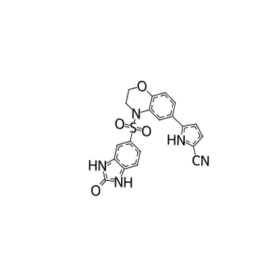 N#Cc1ccc(-c2ccc3c(c2)N(S(=O)(=O)c2ccc4[nH]c(=O)[nH]c4c2)CCO3)[nH]1